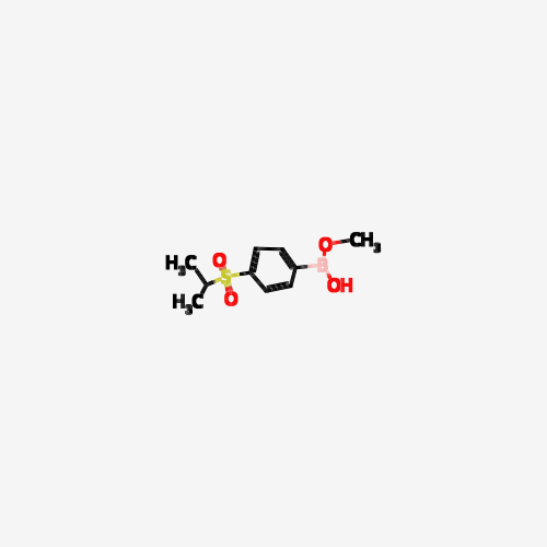 COB(O)c1ccc(S(=O)(=O)C(C)C)cc1